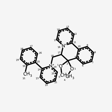 COC1(OC)c2ccccc2-c2cccc[n+]2C1C[n+]1ccccc1-c1ccccc1C